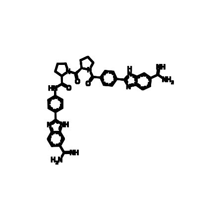 N=C(N)c1ccc2nc(-c3ccc(NC(=O)C4CCCN4C(=O)[C@H]4CCCN4C(=O)c4ccc(-c5nc6ccc(C(=N)N)cc6[nH]5)cc4)cc3)[nH]c2c1